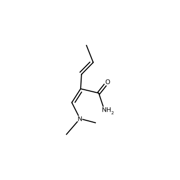 CC=CC(=CN(C)C)C(N)=O